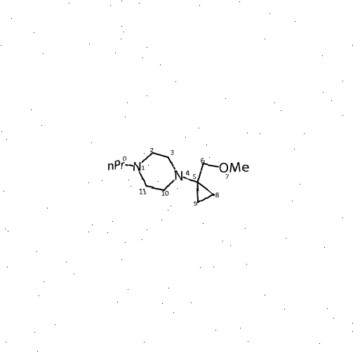 CCCN1CCN(C2(COC)CC2)CC1